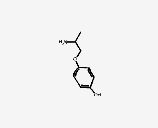 CC(N)COc1ccc(O)cc1